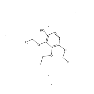 Oc1ccc(OCF)c(OCF)c1OCF